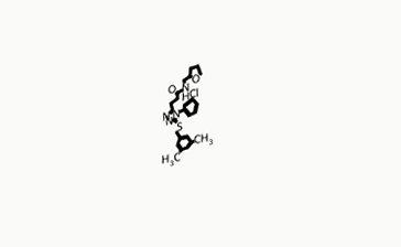 Cc1cc(C)cc(CSc2nnc(CCC(=O)NCC3CCCO3)n2-c2cccc(Cl)c2)c1